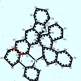 c1ccc(-c2ccccc2N(c2cccc3cc4c(cc23)sc2ccccc24)c2cc3ccccc3c3c2ccc2ccccc23)cc1